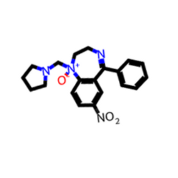 O=[N+]([O-])c1ccc2c(c1)C(c1ccccc1)=NCC[N+]2([O-])CN1CCCC1